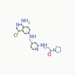 Nc1ncc(Cl)c2cc(NCc3ccnc(NCCC(=O)N4CCCC4)c3)ccc12